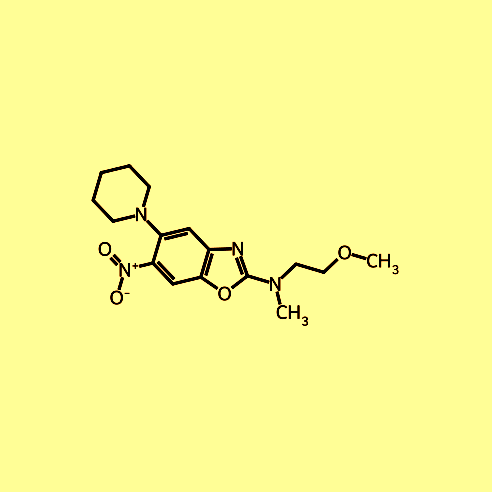 COCCN(C)c1nc2cc(N3CCCCC3)c([N+](=O)[O-])cc2o1